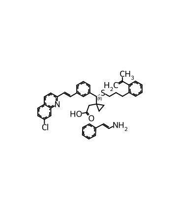 C=C(C)c1ccccc1CCCS[C@@H](c1cccc(C=Cc2ccc3ccc(Cl)cc3n2)c1)C1(CC(=O)O)CC1.NC=Cc1ccccc1